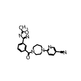 Cc1nc(-c2cccc(C(=O)N3CCCN(c4ccc(C#N)cn4)CC3)c2)no1